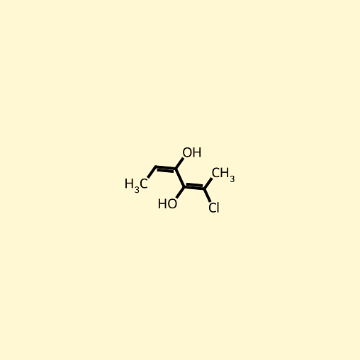 C/C=C(O)\C(O)=C(/C)Cl